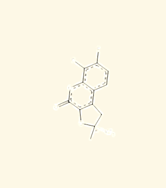 C[C@]1(C(F)(F)F)Cc2c(c(=O)oc3c(F)c(F)ccc23)O1